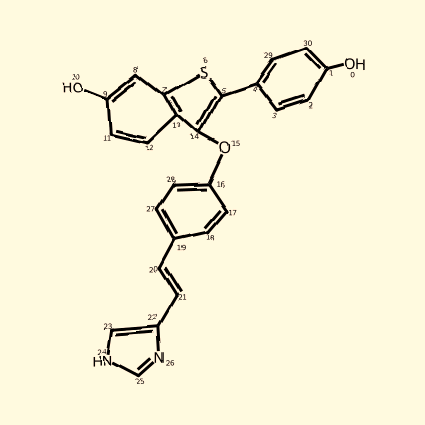 Oc1ccc(-c2sc3cc(O)ccc3c2Oc2ccc(C=Cc3c[nH]cn3)cc2)cc1